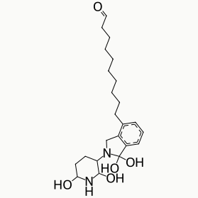 O=CCCCCCCCCCc1cccc2c1CN(C1CCC(O)NC1O)C2(O)O